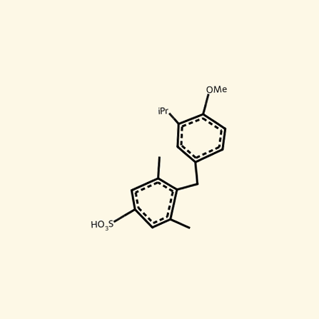 COc1ccc(Cc2c(C)cc(S(=O)(=O)O)cc2C)cc1C(C)C